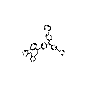 C1=C(c2ccc(N(c3ccc(-c4ccccc4)cc3)c3ccc(-c4ccccc4)cc3)cc2)c2cccc3c4ccccc4n(c23)-c2ccccc21